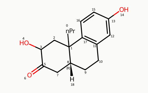 CCCC12CC(O)C(=O)C[C@H]1CCc1cc(O)ccc12